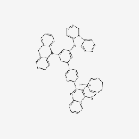 C1=C[C@@H]2C=C(CC1)Sc1c2c(-c2ccc(C3C=C(n4c5ccccc5c5ccccc54)C=C(N4c5ccccc5Cc5ccccc54)C3)cc2)nc2ccccc12